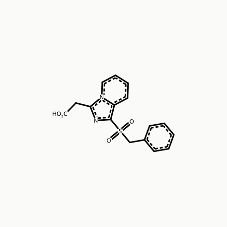 O=C(O)Cc1nc(S(=O)(=O)Cc2ccccc2)c2ccccn12